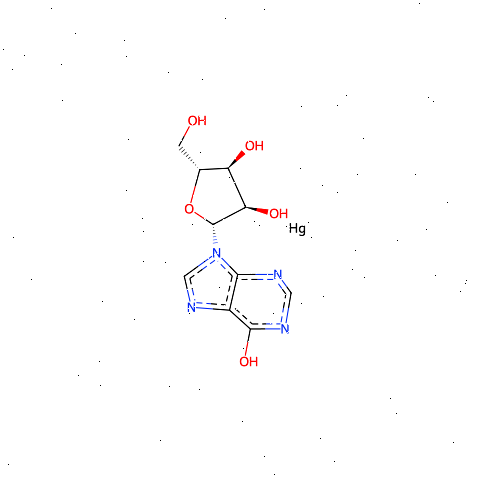 OC[C@H]1O[C@@H](n2cnc3c(O)ncnc32)[C@H](O)[C@@H]1O.[Hg]